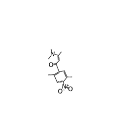 CC(=CC(=O)c1cc(C)c([N+](=O)[O-])cc1C)N(C)C